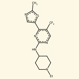 CCN1CCC(Nc2ncc(C(F)(F)F)c(-c3cnc(C)s3)n2)CC1